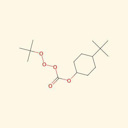 CC(C)(C)OOOC(=O)OC1CCC(C(C)(C)C)CC1